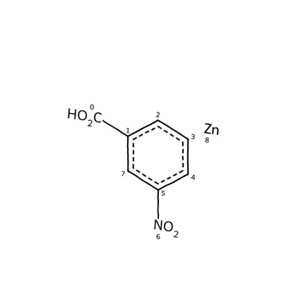 O=C(O)c1cccc([N+](=O)[O-])c1.[Zn]